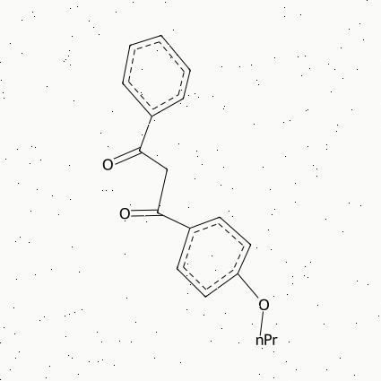 CCCOc1ccc(C(=O)CC(=O)c2ccccc2)cc1